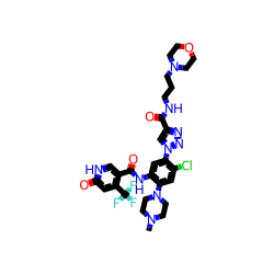 CN1CCN(c2cc(Cl)c(-n3cc(C(=O)NCCCN4CCOCC4)nn3)cc2NC(=O)c2c[nH]c(=O)cc2C(F)(F)F)CC1